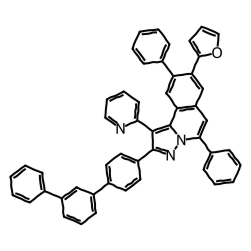 c1ccc(-c2cccc(-c3ccc(-c4nn5c(-c6ccccc6)cc6cc(-c7ccco7)c(-c7ccccc7)cc6c5c4-c4ccccn4)cc3)c2)cc1